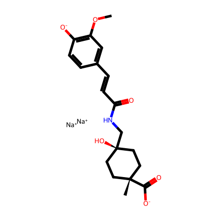 COc1cc(C=CC(=O)NC[C@]2(O)CC[C@](C)(C(=O)[O-])CC2)ccc1[O-].[Na+].[Na+]